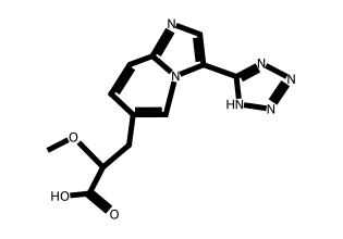 COC(Cc1ccc2ncc(-c3nnn[nH]3)n2c1)C(=O)O